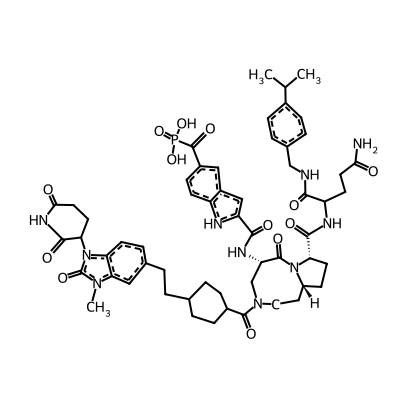 CC(C)c1ccc(CNC(=O)C(CCC(N)=O)NC(=O)[C@@H]2CC[C@@H]3CCN(C(=O)C4CCC(CCc5ccc6c(c5)n(C)c(=O)n6C5CCC(=O)NC5=O)CC4)C[C@H](NC(=O)c4cc5cc(C(=O)P(=O)(O)O)ccc5[nH]4)C(=O)N32)cc1